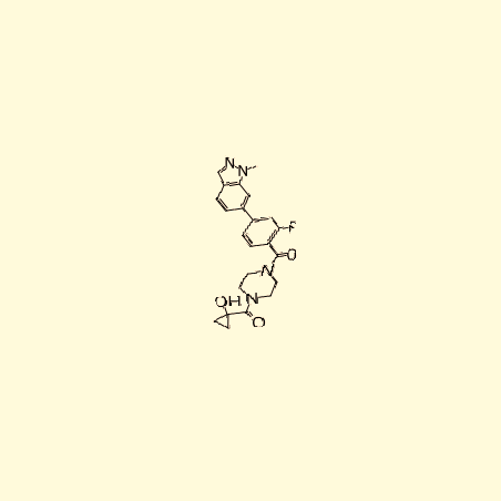 Cn1ncc2ccc(-c3ccc(C(=O)N4CCN(C(=O)C5(O)CC5)CC4)c(F)c3)cc21